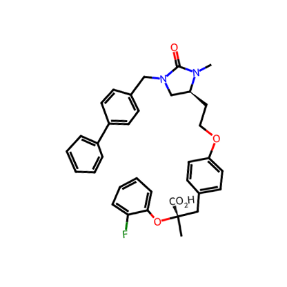 CN1C(=O)N(Cc2ccc(-c3ccccc3)cc2)C[C@@H]1CCOc1ccc(C[C@](C)(Oc2ccccc2F)C(=O)O)cc1